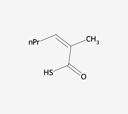 CCCC=C(C)C(=O)S